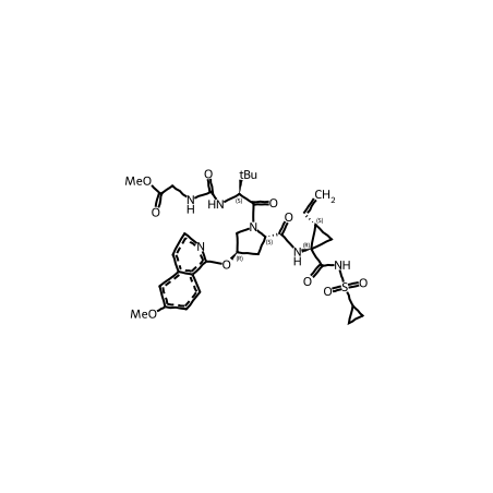 C=C[C@@H]1C[C@]1(NC(=O)[C@@H]1C[C@@H](Oc2nccc3cc(OC)ccc23)CN1C(=O)[C@@H](NC(=O)NCC(=O)OC)C(C)(C)C)C(=O)NS(=O)(=O)C1CC1